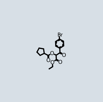 CCOC(=O)C(OC(=O)C1CCCC1)C(=O)c1ccc(Br)cc1